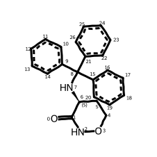 O=C1NOCC[C@@H]1NC(c1ccccc1)(c1ccccc1)c1ccccc1